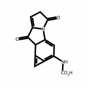 O=C(O)NC1=C2C=C2C2C(=O)C3=CCC(=O)N3C2=C1